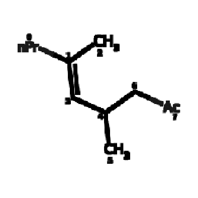 CCC/C(C)=C/C(C)CC(C)=O